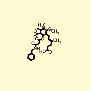 COc1c(C)c2c(c(OC(=O)CC(=O)NCc3ccccc3)c1C/C=C(\C)CCC(=O)O)C(=O)OC2